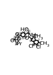 Cc1cc2c(cc(C(=O)NC(CO)c3ccc(S(=O)(=O)CC(=O)OC(C)C)cc3)n2C)c(Cl)c1Cl